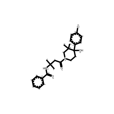 CC(C)(CC(=O)N1CCC(O)(c2ccc(Cl)cc2)C(C)(C)C1)NC(=O)c1ccccc1